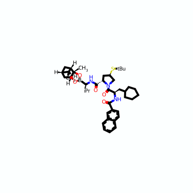 CC(C)[C@H](NC(=O)[C@@H]1C[C@@H](SC(C)(C)C)CN1C(=O)[C@@H](CC1CCCCC1)NC(=O)c1ccc2ccccc2c1)B1O[C@@H]2C[C@@H]3C[C@@H](C3(C)C)[C@]2(C)O1